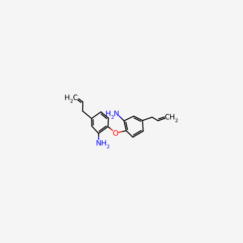 C=CCc1ccc(Oc2ccc(CC=C)cc2N)c(N)c1